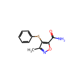 Cc1noc(C(N)=O)c1Sc1ccccc1